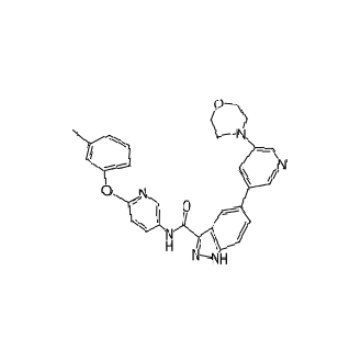 Cc1cccc(Oc2ccc(NC(=O)c3n[nH]c4ccc(-c5cncc(N6CCOCC6)c5)cc34)cn2)c1